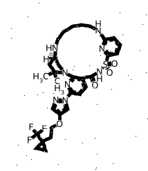 CC1(C)C[C@H]2CN1c1nc(-n3cc(OCCC4(C(F)(F)F)CC4)cn3)ccc1C(=O)NS(=O)(=O)c1cccc(n1)NCCCCCN2